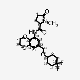 CN1C(=O)CCC1C(=O)Nc1cc(COC2CCC(F)(F)CC2)cc2c1OCCO2